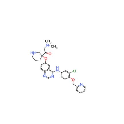 CN(C)CC(=O)[C@]1(Oc2ccc3ncnc(Nc4ccc(OCc5ccccn5)c(Cl)c4)c3c2)CCCNC1